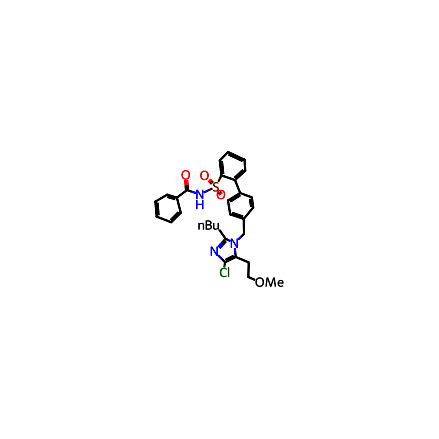 CCCCc1nc(Cl)c(CCOC)n1Cc1ccc(-c2ccccc2S(=O)(=O)NC(=O)c2ccccc2)cc1